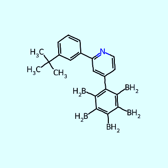 Bc1c(B)c(B)c(-c2ccnc(-c3cccc(C(C)(C)C)c3)c2)c(B)c1B